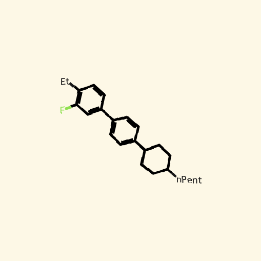 CCCCCC1CCC(c2ccc(-c3ccc(CC)c(F)c3)cc2)CC1